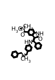 CN(Cc1ccccc1)Cc1ccc(NC(=C2C(=O)Nc3ccc(C(=O)N(C)C)cc32)c2ccccc2)cc1